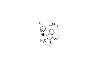 CC(=O)N1c2ccc(C(N)=O)cc2[C@H](Nc2ccc(C)cn2)[C@@H](C)[C@@H]1C1CC1